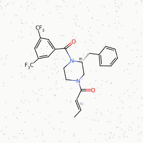 C/C=C/C(=O)N1CCN(C(=O)c2cc(C(F)(F)F)cc(C(F)(F)F)c2)[C@H](Cc2ccccc2)C1